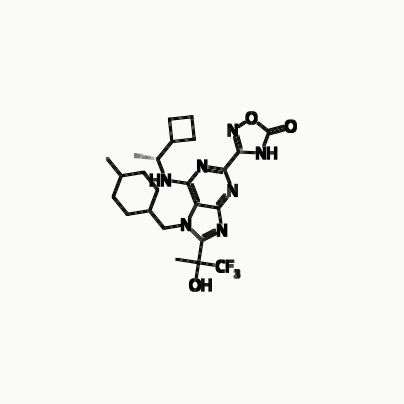 CC1CCC(Cn2c(C(C)(O)C(F)(F)F)nc3nc(-c4noc(=O)[nH]4)nc(N[C@H](C)C4CCC4)c32)CC1